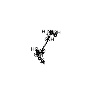 Cc1ncsc1-c1ccc(CNC(=O)[C@@H]2C[C@@H](O)CN2C(=O)[C@@H](NC(=O)CCCCCCCCC(=O)N[C@H]2C[C@H](Oc3cc(-c4ccccc4O)nnc3N)C2)C(C)(C)C)cc1